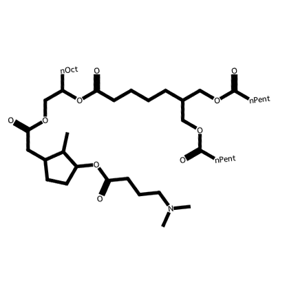 CCCCCCCCC(COC(=O)CC1CCC(OC(=O)CCCN(C)C)C1C)OC(=O)CCCCC(COC(=O)CCCCC)COC(=O)CCCCC